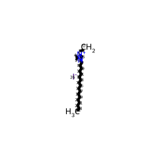 C=CC[n+]1ccn(CCCCCCCCCCCCCCCCCC)c1.[I-]